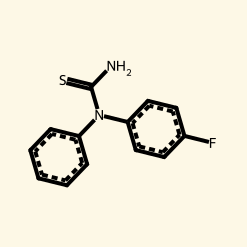 NC(=S)N(c1ccccc1)c1ccc(F)cc1